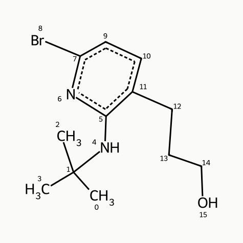 CC(C)(C)Nc1nc(Br)ccc1CCCO